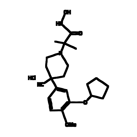 COc1ccc(C2(C#N)CCN(C(C)(C)C(=O)NO)CC2)cc1OC1CCCC1.Cl